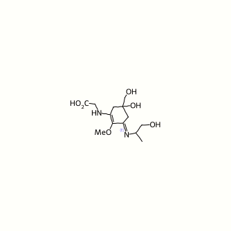 COC1=C(NCC(=O)O)CC(O)(CO)C/C1=N\C(C)CO